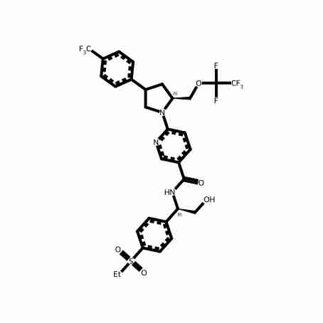 CCS(=O)(=O)c1ccc([C@H](CO)NC(=O)c2ccc(N3CC(c4ccc(C(F)(F)F)cc4)C[C@H]3COC(F)(F)C(F)(F)F)nc2)cc1